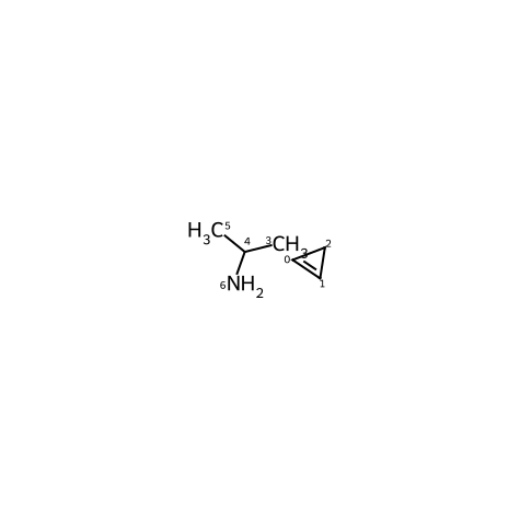 C1=CC1.CC(C)N